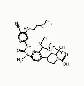 COCCNc1cc(NC(=O)N(C)c2ccc(C3CCN(C(=O)O)C(C(C)(C)C)C3)c(C(OC)OC)n2)ncc1C#N